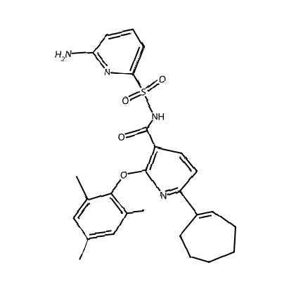 Cc1cc(C)c(Oc2nc(C3=CCCCCC3)ccc2C(=O)NS(=O)(=O)c2cccc(N)n2)c(C)c1